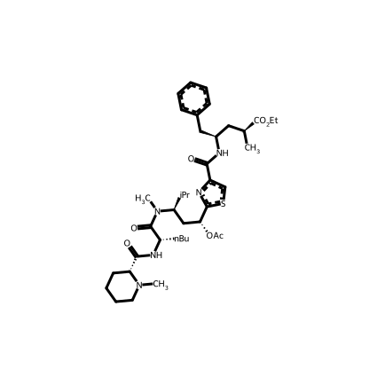 CCCC[C@H](NC(=O)[C@H]1CCCCN1C)C(=O)N(C)[C@H](C[C@@H](OC(C)=O)c1nc(C(=O)N[C@@H](Cc2ccccc2)C[C@H](C)C(=O)OCC)cs1)C(C)C